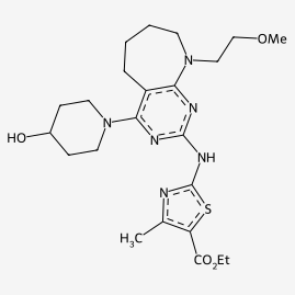 CCOC(=O)c1sc(Nc2nc3c(c(N4CCC(O)CC4)n2)CCCCN3CCOC)nc1C